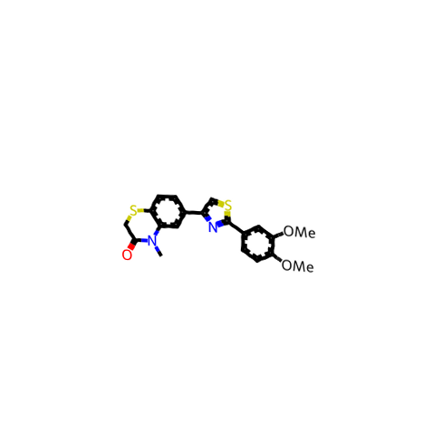 COc1ccc(-c2nc(-c3ccc4c(c3)N(C)C(=O)CS4)cs2)cc1OC